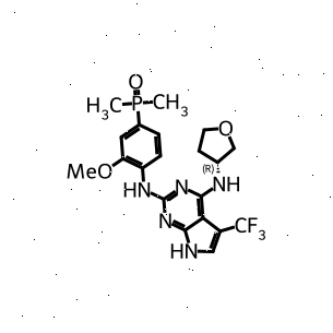 COc1cc(P(C)(C)=O)ccc1Nc1nc(N[C@@H]2CCOC2)c2c(C(F)(F)F)c[nH]c2n1